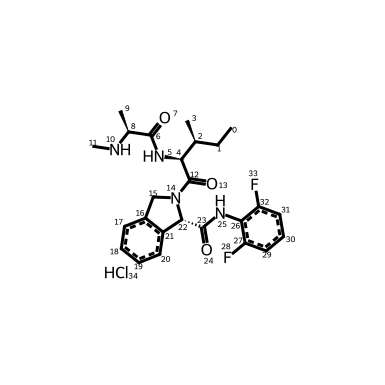 CC[C@H](C)[C@H](NC(=O)[C@H](C)NC)C(=O)N1Cc2ccccc2[C@H]1C(=O)Nc1c(F)cccc1F.Cl